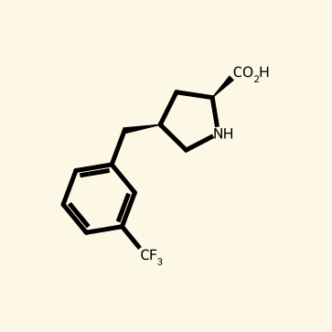 O=C(O)[C@@H]1C[C@H](Cc2cccc(C(F)(F)F)c2)CN1